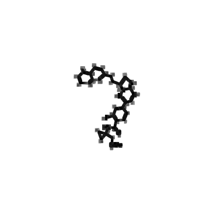 COCC1(NC(=O)c2ccc(-c3cnc4ncc(CCc5ccc6ncccc6c5)n4n3)cc2F)CC1